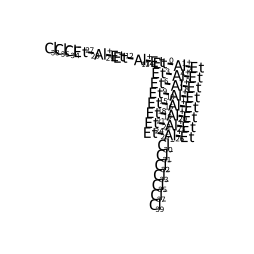 C[CH2][Al+][CH2]C.C[CH2][Al+][CH2]C.C[CH2][Al+][CH2]C.C[CH2][Al+][CH2]C.C[CH2][Al+][CH2]C.C[CH2][Al+][CH2]C.C[CH2][Al+][CH2]C.C[CH2][Al+][CH2]C.C[CH2][Al+][CH2]C.C[CH2][Al+][CH2]C.[Cl-].[Cl-].[Cl-].[Cl-].[Cl-].[Cl-].[Cl-].[Cl-].[Cl-].[Cl-]